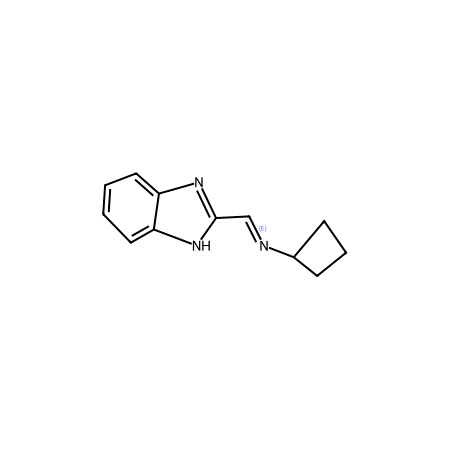 C(=N\C1CCC1)/c1nc2ccccc2[nH]1